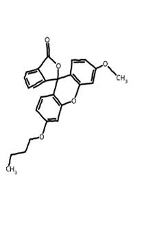 CCCCOc1ccc2c(c1)Oc1cc(OC)ccc1C21OC(=O)c2ccccc21